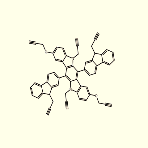 C#CCOc1ccc2c(c1)c1c(-c3ccc4c(c3)C(CC#C)c3ccccc3-4)c3c(c(-c4ccc5c(c4)C(CC#C)c4ccccc4-5)c1n2CC#C)c1cc(OCC#C)ccc1n3CC#C